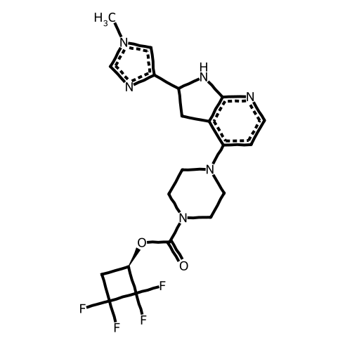 Cn1cnc(C2Cc3c(N4CCN(C(=O)O[C@@H]5CC(F)(F)C5(F)F)CC4)ccnc3N2)c1